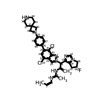 C=C(N/C(C)=N/C=C\C)C(c1ncn2c1C[C@@H](F)C2)n1cc2c(Cl)cc(-c3ccc(N4CC5(CCNCC5)C4)cc3)c(Cl)c2n1